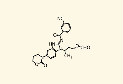 CC(CCOC=O)n1/c(=N/C(=O)c2cccc(C#N)c2)[nH]c2cc(N3CCCOC3=O)ccc21